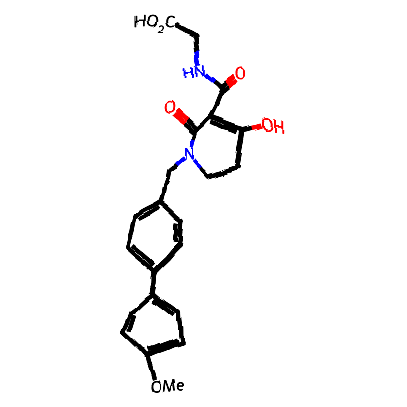 COc1ccc(-c2ccc(CN3CCC(O)=C(C(=O)NCC(=O)O)C3=O)cc2)cc1